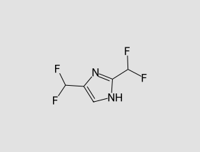 FC(F)c1c[nH]c(C(F)F)n1